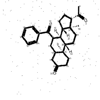 CC(=O)[C@H]1CC[C@H]2[C@@H]3C(C(=O)c4ccccc4)CC4CC(=O)CC[C@]4(C)[C@H]3CC[C@]12C